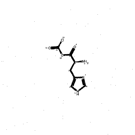 N[C@@H](Cc1c[nH]cn1)C(=O)OC(=O)Cl